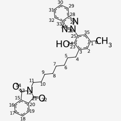 Cc1cc(CCCCCCCCN2C(=O)c3ccccc3C2=O)c(O)c(-n2nc3ccccc3n2)c1